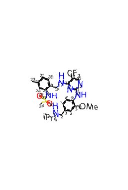 COc1cc(CNC(C)C)ccc1Nc1ncc(C(F)(F)F)c(NCc2ccc(C)cc2NS(C)(=O)=O)n1